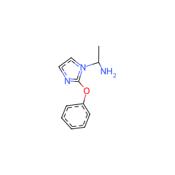 CC(N)n1ccnc1Oc1ccccc1